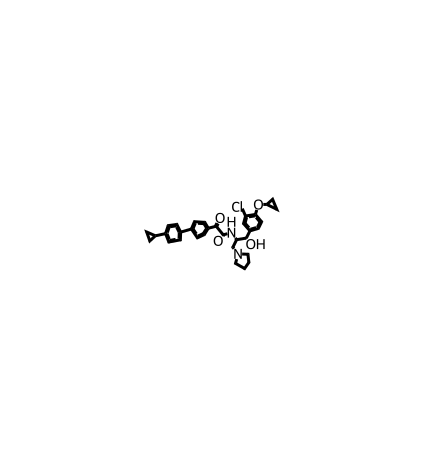 O=C(NC(CN1CCCC1)C(O)c1ccc(OC2CC2)c(Cl)c1)C(=O)c1ccc(-c2ccc(C3CC3)cc2)cc1